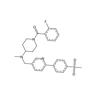 CN(Cc1ccc(-c2ccc(S(C)(=O)=O)cc2)nc1)C1CCN(C(=O)c2ccccc2F)CC1